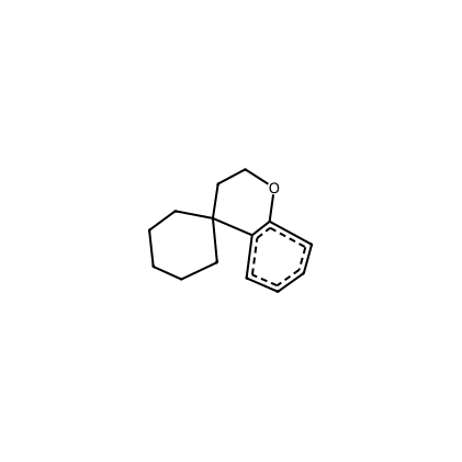 c1ccc2c(c1)OCCC21CCCCC1